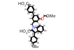 COCOc1cc(Cn2c(C(=O)O)c(-c3ccc(C(C)(C)C)cc3)c3ccccc32)cc(-c2ccc(C(=O)O)cc2)c1